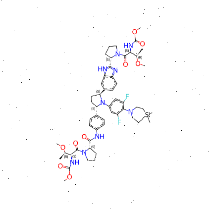 COC(=O)N[C@H](C(=O)N1CCC[C@H]1C(=O)Nc1ccc([C@@H]2CC[C@@H](c3ccc4nc([C@@H]5CCCN5C(=O)[C@@H](NC(=O)OC)[C@@H](C)OC)[nH]c4c3)N2c2cc(F)c(N3CC[Si](C)(C)CC3)c(F)c2)cc1)[C@@H](C)OC